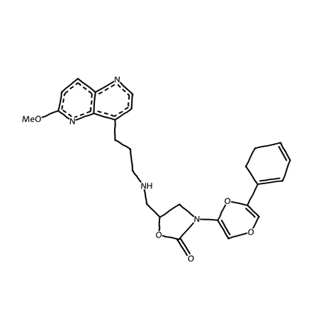 COc1ccc2nccc(CCCNCC3CN(C4=COC=C(C5=CC=CCC5)O4)C(=O)O3)c2n1